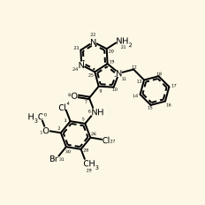 COc1c(Cl)c(NC(=O)c2cn(Cc3ccccc3)c3c(N)ncnc23)c(Cl)c(C)c1Br